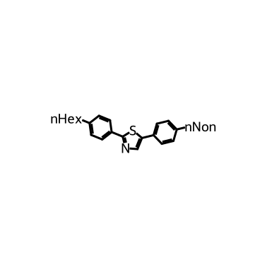 CCCCCCCCCc1ccc(-c2cnc(-c3ccc(CCCCCC)cc3)s2)cc1